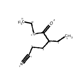 C[CH]C(CCC#N)C(=O)OCC